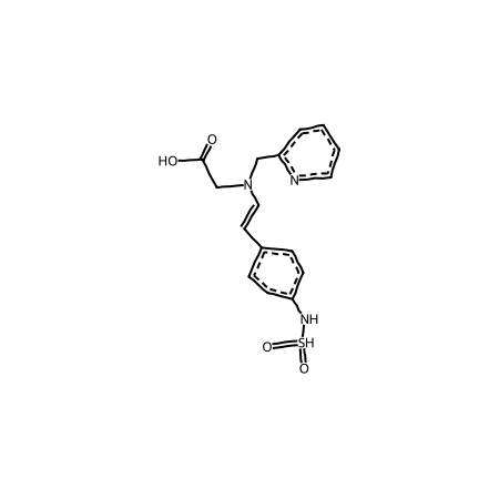 O=C(O)CN(C=Cc1ccc(N[SH](=O)=O)cc1)Cc1ccccn1